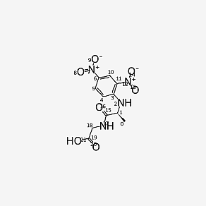 C[C@H](Nc1ccc([N+](=O)[O-])cc1[N+](=O)[O-])C(=O)NCC(=O)O